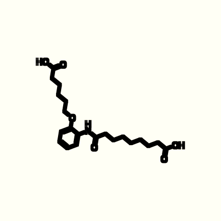 O=C(O)CCCCCCCC(=O)Nc1ccccc1OCCCCCC(=O)O